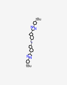 CC(C)(C)c1ccc(-c2ncc(-c3ccc4cc(/C=C/c5ccc6cc(-c7cnc(-c8ccc(C(C)(C)C)cc8)nc7)ccc6c5)ccc4c3)cn2)cc1